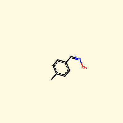 Cc1[c]cc(/C=N\O)cc1